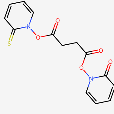 O=C(CCC(=O)On1ccccc1=S)On1ccccc1=O